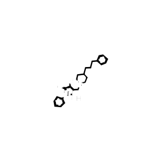 Cn1c(CN2CCC(CCCc3ccccc3)CC2)c(Br)c(=O)n1-c1ccccc1